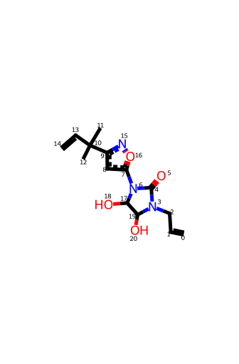 C=CCN1C(=O)N(c2cc(C(C)(C)C=C)no2)C(O)C1O